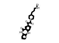 CCNCCCC1CCN(C(Cl)C(=O)c2ccc3c(c2)C(=O)Nc2cccnc2N3)CC1